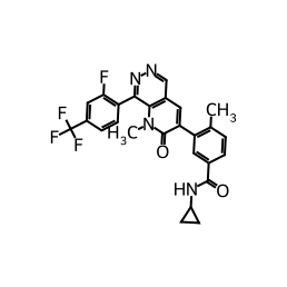 Cc1ccc(C(=O)NC2CC2)cc1-c1cc2cnnc(-c3ccc(C(F)(F)F)cc3F)c2n(C)c1=O